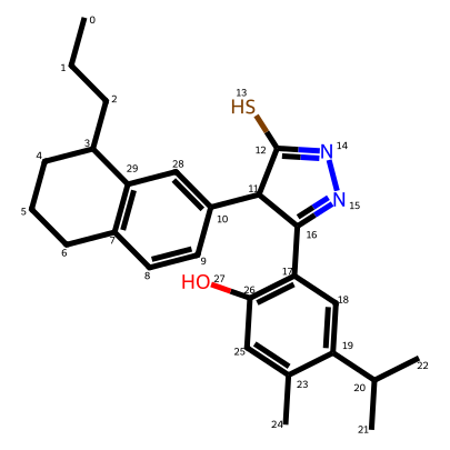 CCCC1CCCc2ccc(C3C(S)=NN=C3c3cc(C(C)C)c(C)cc3O)cc21